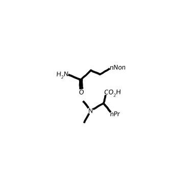 CCCC(C(=O)O)N(C)C.CCCCCCCCCCCC(N)=O